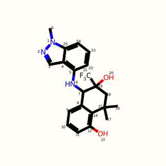 Cn1ncc2c(NC3c4cccc(O)c4C(C)(C)CC3(O)C(F)(F)F)cccc21